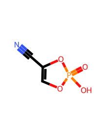 N#CC1=COP(=O)(O)O1